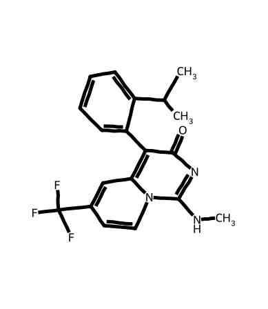 CNc1nc(=O)c(-c2ccccc2C(C)C)c2cc(C(F)(F)F)ccn12